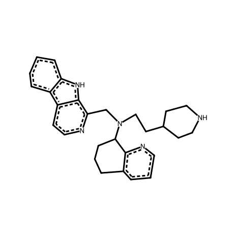 c1cnc2c(c1)CCCC2N(CCC1CCNCC1)Cc1nccc2c1[nH]c1ccccc12